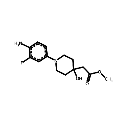 COC(=O)CC1(O)CCN(c2ccc(N)c(F)c2)CC1